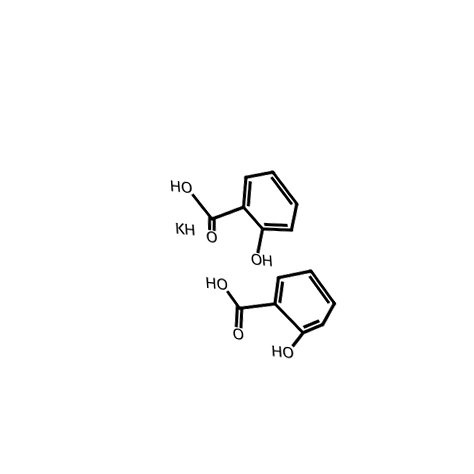 O=C(O)c1ccccc1O.O=C(O)c1ccccc1O.[KH]